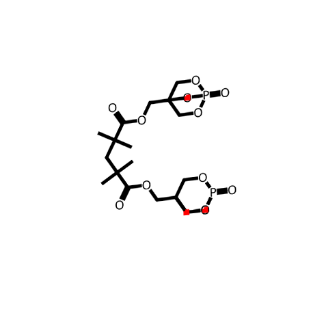 CC(C)(CC(C)(C)C(=O)OCC12COP(=O)(OC1)OC2)C(=O)OCC12COP(=O)(OC1)OC2